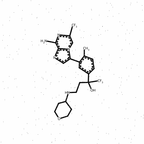 Cc1ccc(C(O)(CCNC2CCOCC2)C(F)(F)F)cc1-c1cnc2c(N)nc(C(F)(F)F)cn12